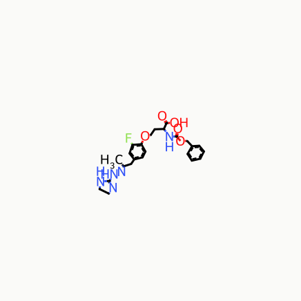 C/C(Cc1ccc(OCCC(NC(=O)OCc2ccccc2)C(=O)O)c(F)c1)=N\NC1=NCCN1